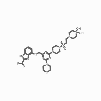 O=S(=O)(CCN1CCS(O)(O)CC1)N1CCN(c2nc(COc3cccc4[nH]c(C(F)F)nc34)nc(N3CCOCC3)n2)CC1